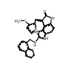 COc1cc[nH]c1/C=C1/C(=O)Nc2ccc3[nH]c(NCc4cccc5ccccc45)nc3c21